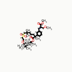 COC/C(=C\c1cccc(C(C)(CCCC(C)(C)CS(=O)(=O)CCO[Si](C)(C)C(C)(C)C)C(=O)OC(C)(C)C)c1)C(=O)OC